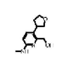 CNc1ccc(C2CCOC2)c(CO)n1